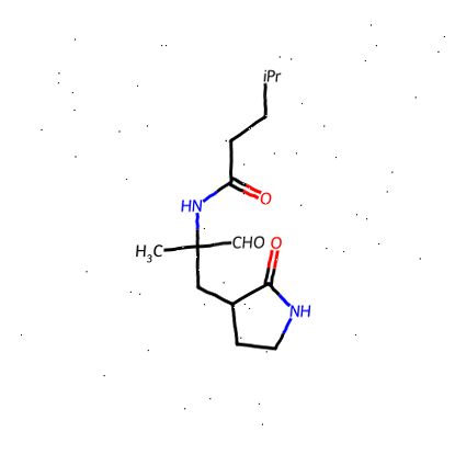 CC(C)C[CH]C(=O)NC(C)(C=O)CC1CCNC1=O